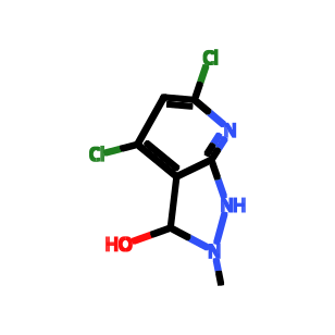 CN1Nc2nc(Cl)cc(Cl)c2C1O